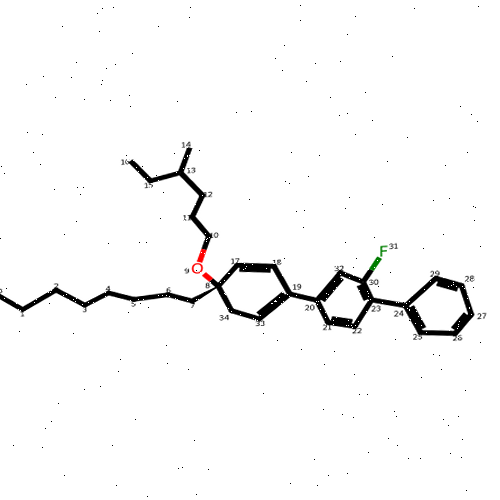 CCCCCCCC[C@@]1(OCCCC(C)CC)C=CC(c2ccc(-c3ccccc3)c(F)c2)=CC1